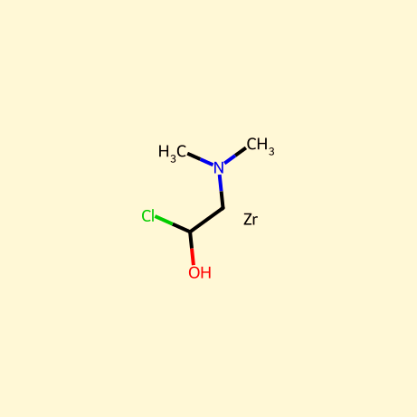 CN(C)CC(O)Cl.[Zr]